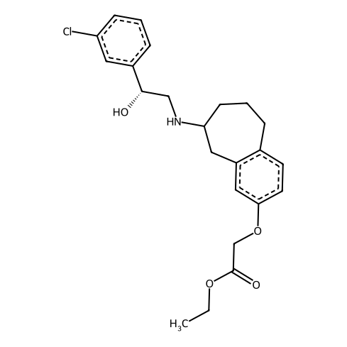 CCOC(=O)COc1ccc2c(c1)CC(NC[C@H](O)c1cccc(Cl)c1)CCC2